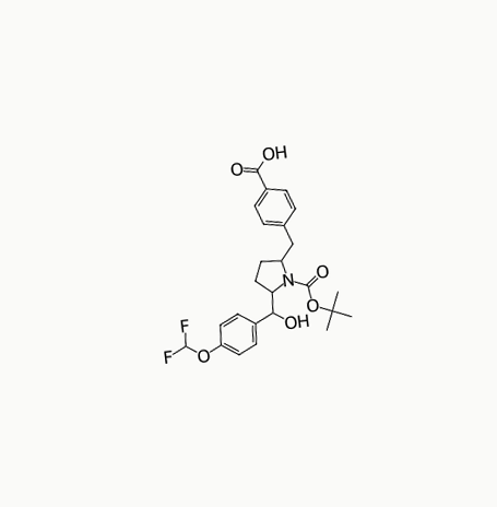 CC(C)(C)OC(=O)N1C(Cc2ccc(C(=O)O)cc2)CCC1C(O)c1ccc(OC(F)F)cc1